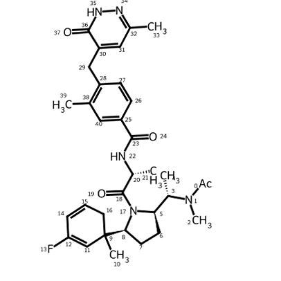 CC(=O)N(C)[C@@H](C)[C@H]1CC[C@@H](C2(C)C=C(F)C=CC2)N1C(=O)[C@@H](C)NC(=O)c1ccc(Cc2cc(C)n[nH]c2=O)c(C)c1